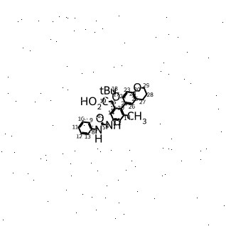 Cc1cc(NC(=O)Nc2ccccc2)cc(C(OC(C)(C)C)C(=O)O)c1-c1ccc2c(c1)CCCO2